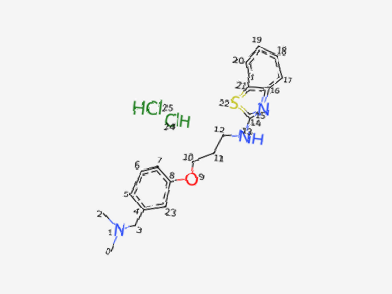 CN(C)Cc1cccc(OCCCNc2nc3ccccc3s2)c1.Cl.Cl